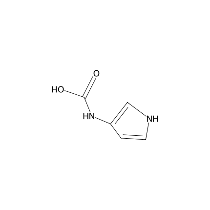 O=C(O)Nc1cc[nH]c1